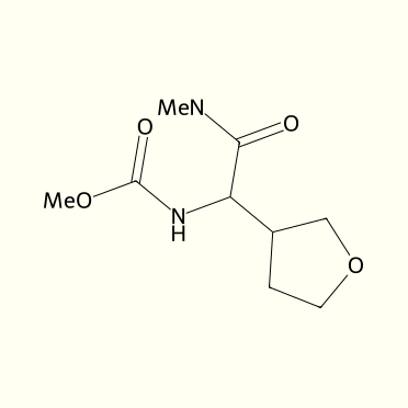 CNC(=O)C(NC(=O)OC)C1CCOC1